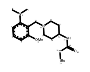 COc1cccc(N(C)C)c1CN1CCC(NC(=O)OC(C)(C)C)CC1